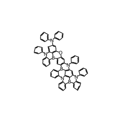 c1ccc(N(c2ccccc2)c2cc3c4c(c2)N(c2ccccc2)c2ccccc2B4c2cc4c(cc2O3)N(c2ccccc2)c2cc3c5c6c2B4c2ccccc2N6c2ccccc2B5c2ccccc2N3c2ccccc2)cc1